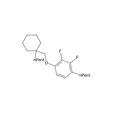 CCCCCc1ccc(OCC2(CCCCC)CCCCC2)c(F)c1F